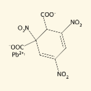 O=C([O-])C1C([N+](=O)[O-])=CC([N+](=O)[O-])=CC1(C(=O)[O-])[N+](=O)[O-].[Pb+2]